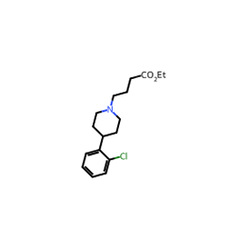 CCOC(=O)CCCN1CCC(c2ccccc2Cl)CC1